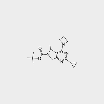 CC1c2c(nc(C3CC3)nc2N2CCC2)CN1C(=O)OC(C)(C)C